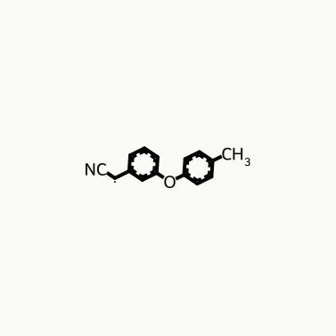 Cc1ccc(Oc2cccc([CH]C#N)c2)cc1